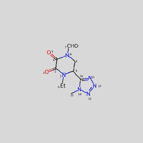 CCN1C(=O)C(=O)N([C]=O)CC1c1nnnn1C